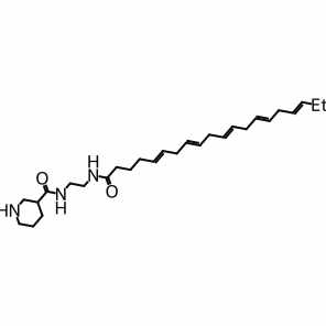 CCC=CCC=CCC=CCC=CCC=CCCCC(=O)NCCNC(=O)C1CCCNC1